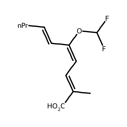 CCC/C=C/C(=C\C=C(/C)C(=O)O)OC(F)F